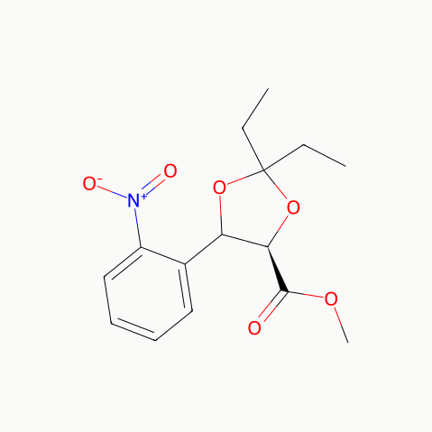 CCC1(CC)OC(c2ccccc2[N+](=O)[O-])[C@H](C(=O)OC)O1